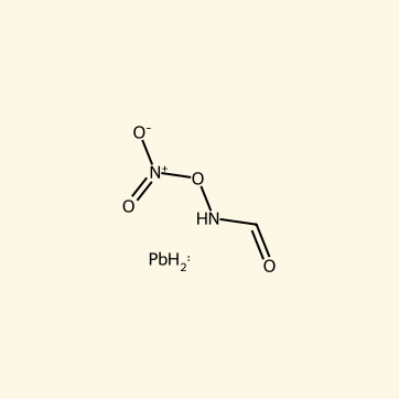 O=CNO[N+](=O)[O-].[PbH2]